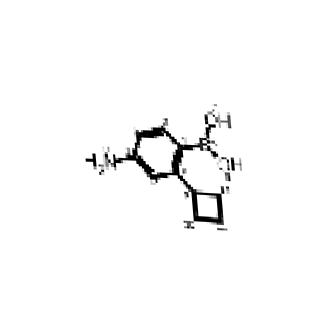 Nc1ccc(B(O)O)c(C2CCC2)c1